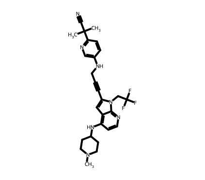 CN1CCC(Nc2ccnc3c2cc(C#CCNc2ccc(C(C)(C)C#N)nc2)n3CC(F)(F)F)CC1